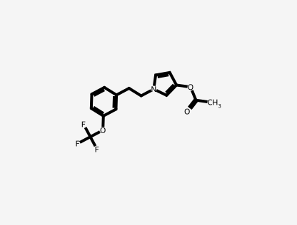 CC(=O)Oc1ccn(CCc2cccc(OC(F)(F)F)c2)c1